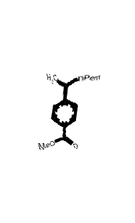 CCCCCC(C)c1ccc(C(=O)OC)cc1